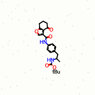 CC(Cc1ccc(NC(=O)c2coc3c2C(=O)CCC3)cc1)NC(=O)OC(C)(C)C